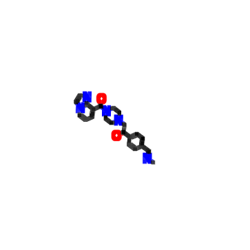 C/N=C/c1ccc(C(=O)CN2CCN(C(=O)c3cccn4ccnc34)CC2)cc1